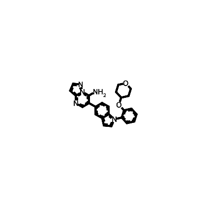 Nc1c(-c2ccc3c(ccn3-c3ccccc3OC3CCOCC3)c2)cnc2ccnn12